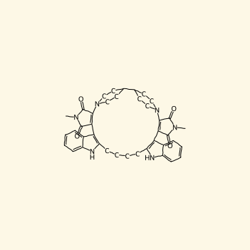 CN1C(=O)C2=C(C1=O)N1CCC(CC1)C1CCN(CC1)C1=C(C(=O)N(C)C1=O)c1c([nH]c3ccccc13)CCCCc1[nH]c3ccccc3c12